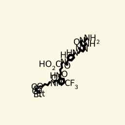 CCOP(=O)(OCC)OCCCCNC(=O)c1ccc(C(F)(F)F)cc1NC(=O)CC[C@H](NC(=O)c1ccc(NCc2cnc3[nH]c(N)nc(=O)c3n2)cc1)C(=O)O